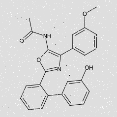 COc1cccc(-c2nc(-c3ccccc3-c3cccc(O)c3)oc2NC(C)=O)c1